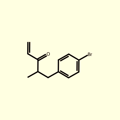 C=CC(=O)C(C)Cc1ccc(Br)cc1